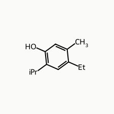 CCc1cc(C(C)C)c(O)cc1C